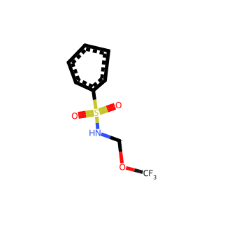 O=S(=O)(N[CH]OC(F)(F)F)c1ccccc1